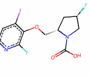 O=C(O)N1C[C@H](F)C[C@H]1COc1c(I)ccnc1F